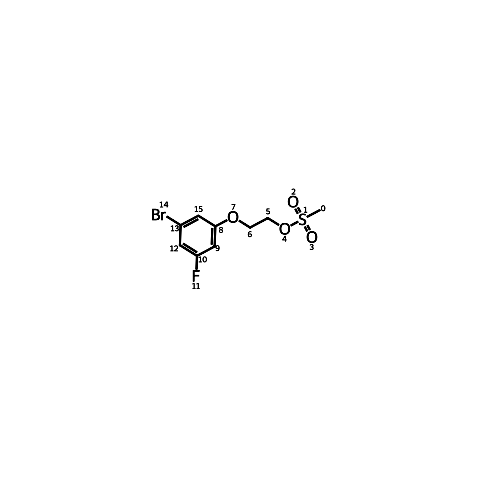 CS(=O)(=O)OCCOc1cc(F)cc(Br)c1